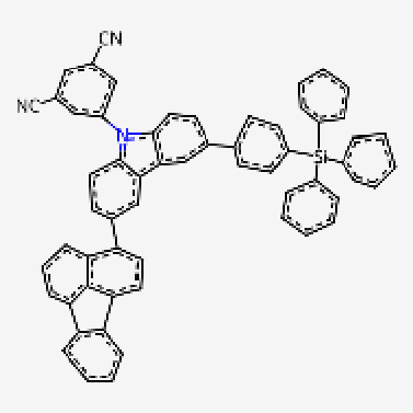 N#Cc1cc(C#N)cc(-n2c3ccc(-c4ccc([Si](c5ccccc5)(c5ccccc5)c5ccccc5)cc4)cc3c3cc(-c4ccc5c6c(cccc46)-c4ccccc4-5)ccc32)c1